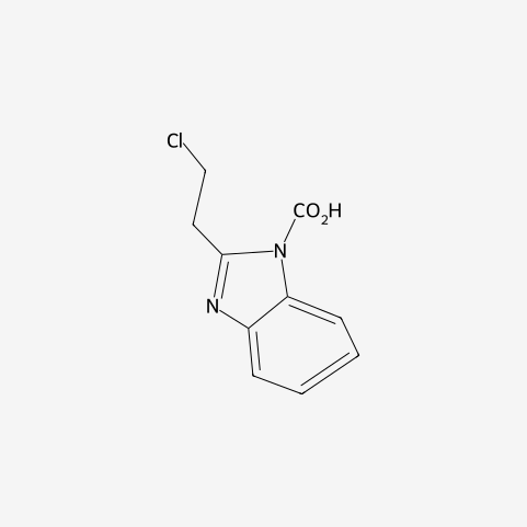 O=C(O)n1c(CCCl)nc2ccccc21